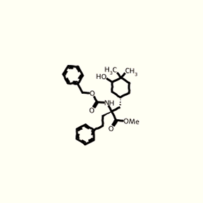 COC(=O)[C@@](CCc1ccccc1)(C[C@H]1CCC(C)(C)C(O)C1)NC(=O)OCc1ccccc1